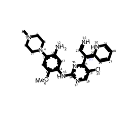 COc1cc(N2CCN(C)CC2)c(N)cc1Nc1ncc(Cl)c(/C(C=N)=C2\C=CC=CN2)n1